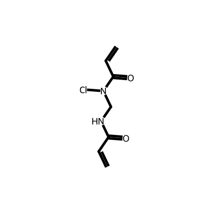 C=CC(=O)NCN(Cl)C(=O)C=C